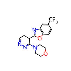 FC(F)(F)c1ccc2oc(C3CC=NN=C3N3CCOCC3)nc2c1